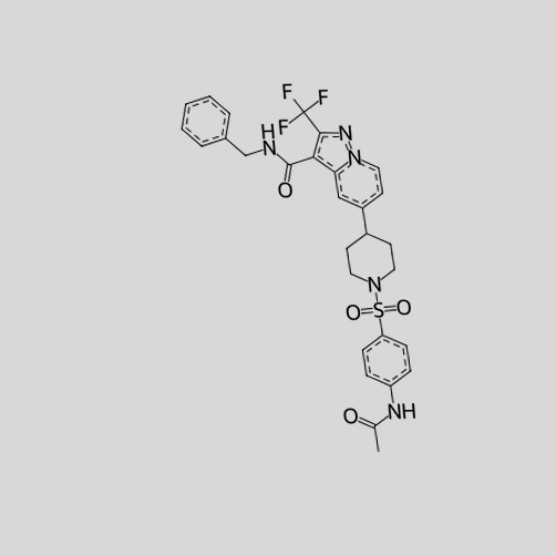 CC(=O)Nc1ccc(S(=O)(=O)N2CCC(c3ccn4nc(C(F)(F)F)c(C(=O)NCc5ccccc5)c4c3)CC2)cc1